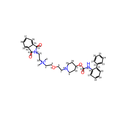 C[N+](C)(CCOCCN1CCC(OC(=O)Nc2ccccc2-c2ccccc2)CC1)CCN1C(=O)c2ccccc2C1=O